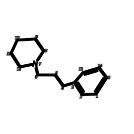 c1ccc(CCCN2CCCCC2)cc1